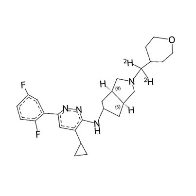 [2H]C([2H])(C1CCOCC1)N1C[C@H]2CC(Nc3nnc(-c4cc(F)ccc4F)cc3C3CC3)C[C@H]2C1